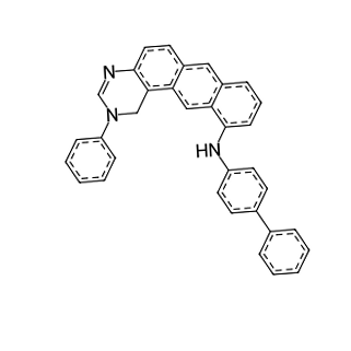 C1=Nc2ccc3cc4cccc(Nc5ccc(-c6ccccc6)cc5)c4cc3c2CN1c1ccccc1